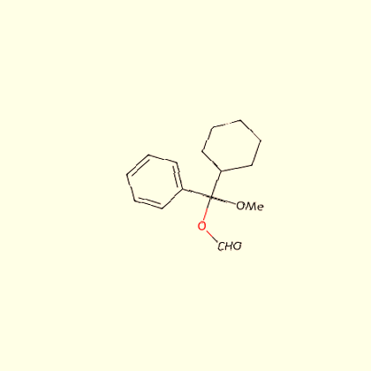 COC(OC=O)(c1ccccc1)C1CCCCC1